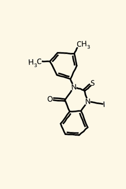 Cc1cc(C)cc(-n2c(=O)c3ccccc3n(I)c2=S)c1